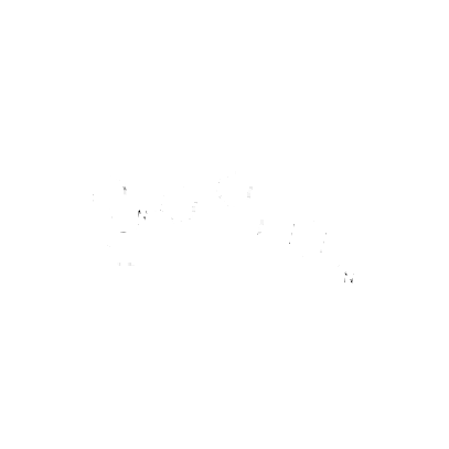 N#Cc1ccc2cc(-c3cccc(-c4ccc(-n5c6ccccc6c6ccccc65)cc4)c3)ccc2c1